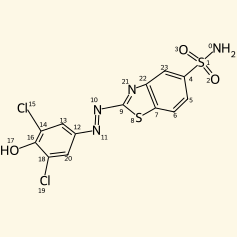 NS(=O)(=O)c1ccc2sc(/N=N/c3cc(Cl)c(O)c(Cl)c3)nc2c1